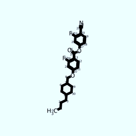 CCCCC1CCC(COc2ccc(C(=O)Oc3ccc(C#N)c(F)c3)c(F)c2)CC1